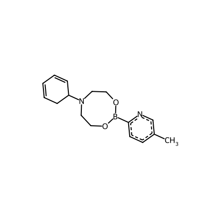 Cc1ccc(B2OCCN(C3C=CC=CC3)CCO2)nc1